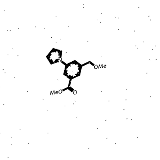 COCc1cc(C(=O)OC)cc(-n2cccc2)c1